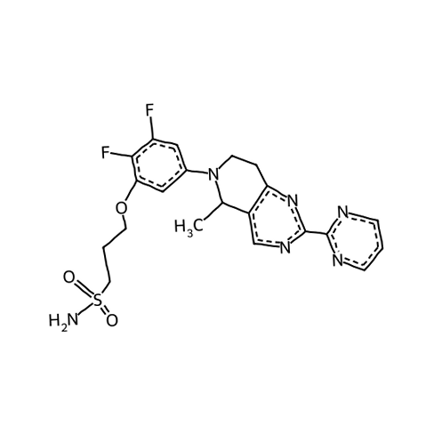 CC1c2cnc(-c3ncccn3)nc2CCN1c1cc(F)c(F)c(OCCCS(N)(=O)=O)c1